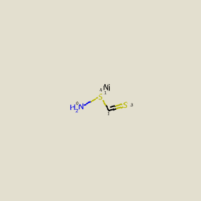 NSC=S.[Ni]